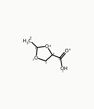 CC1OCC(C(=O)O)O1